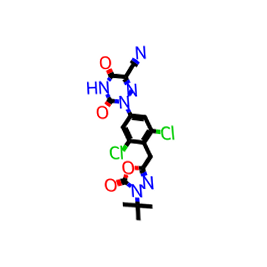 CC(C)(C)n1nc(Cc2c(Cl)cc(-n3nc(C#N)c(=O)[nH]c3=O)cc2Cl)oc1=O